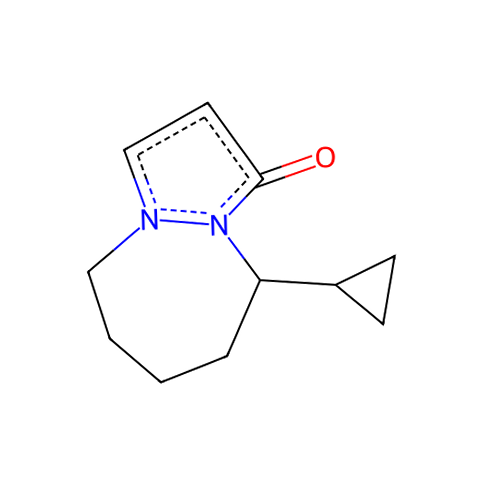 O=c1ccn2n1C(C1CC1)CCCC2